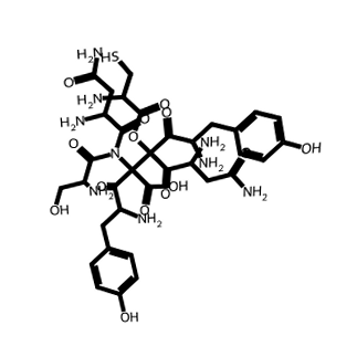 NC(=O)CC(N)C(=O)N(C(=O)C(N)CO)C(C(=O)O)(C(=O)C(N)Cc1ccc(O)cc1)C(OC(=O)C(N)CS)(C(=O)C(N)CC(N)=O)C(=O)C(N)Cc1ccc(O)cc1